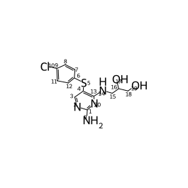 Nc1ncc(Sc2ccc(Cl)cc2)c(NCC(O)CO)n1